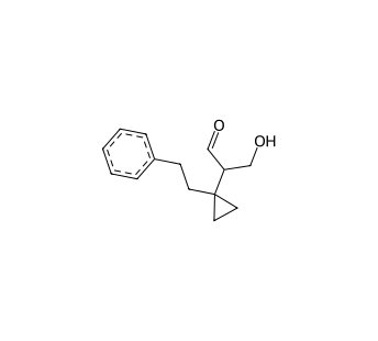 O=CC(CO)C1(CCc2ccccc2)CC1